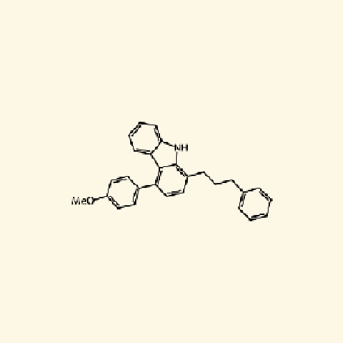 COc1ccc(-c2ccc(CCCc3ccccc3)c3[nH]c4ccccc4c23)cc1